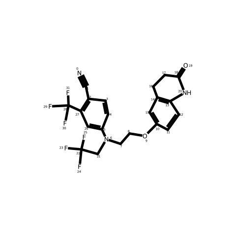 N#Cc1ccc(N(CCOc2ccc3c(c2)CCC(=O)N3)CC(F)(F)F)cc1C(F)(F)F